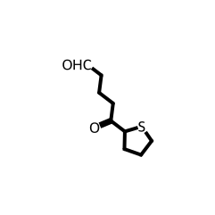 O=CCCCC(=O)C1CCCS1